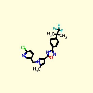 Cc1cc(-c2nc(-c3ccc(C(C)(C)C(F)(F)F)cc3)no2)cn1Cc1ccc(Cl)nc1